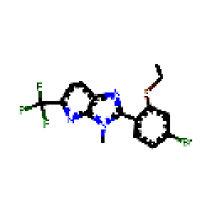 CCSc1cc(Br)ccc1-c1nc2ccc(C(F)(F)F)nc2n1C